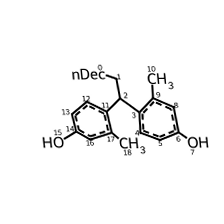 CCCCCCCCCCCC(c1ccc(O)cc1C)c1ccc(O)cc1C